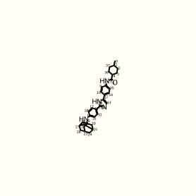 CC1CCC(C(=O)Nc2ccc(-c3cnc(-c4ccc(NC56CC7CC(CC(C7)C5)C6)cc4)[nH]3)cc2)CC1